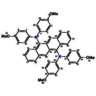 COc1ccc(N(c2ccc(OC)cc2)c2c3ccccc3cc3c(N(c4ccc(OC)cc4)c4ccc(OC)cc4)c4ccccc4cc23)cc1